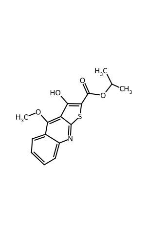 COc1c2ccccc2nc2sc(C(=O)OC(C)C)c(O)c12